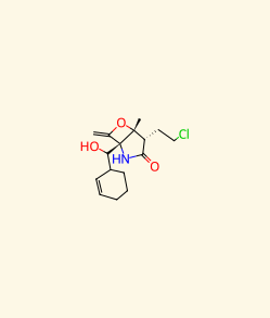 C=C1O[C@]2(C)[C@H](CCCl)C(=O)N[C@]12C(O)C1C=CCCC1